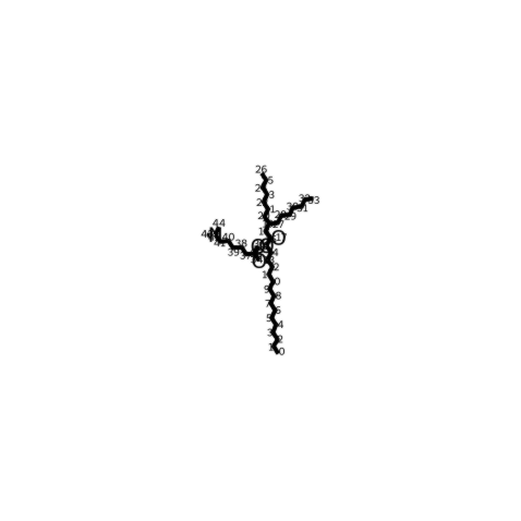 CCCCCCCCCCCCCC(COC(=O)CC(CCCCCCC)CCCCCCC)OC(=O)CCCCCN(C)C